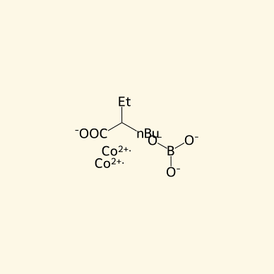 CCCCC(CC)C(=O)[O-].[Co+2].[Co+2].[O-]B([O-])[O-]